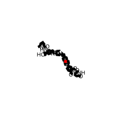 Cc1cccc(C(=O)Nc2cc3cn(C4CCN(CC(C)(C)C5CCC6(CC5)CCN(c5ccc7c(c5)C(=O)N(C5CCC(=O)NC5=O)C7=O)CC6)CC4)nc3cc2C(C)(C)O)n1